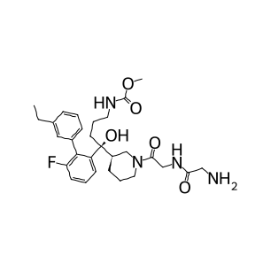 CCc1cccc(-c2c(F)cccc2[C@](O)(CCCNC(=O)OC)[C@@H]2CCCN(C(=O)CNC(=O)CN)C2)c1